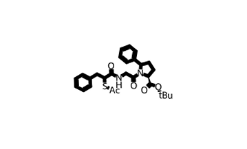 CC(=O)SC(Cc1ccccc1)C(=O)NCC(=O)N1C(c2ccccc2)CC[C@H]1C(=O)OC(C)(C)C